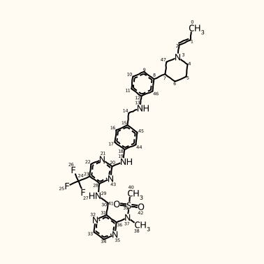 CC=CN1CCCC(c2cccc(NCc3ccc(Nc4ncc(C(F)(F)F)c(NCc5nccnc5N(C)S(C)(=O)=O)n4)cc3)c2)C1